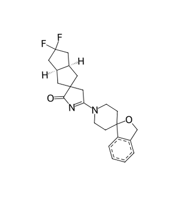 O=C1N=C(N2CCC3(CC2)OCc2ccccc23)CC12C[C@H]1CC(F)(F)C[C@H]1C2